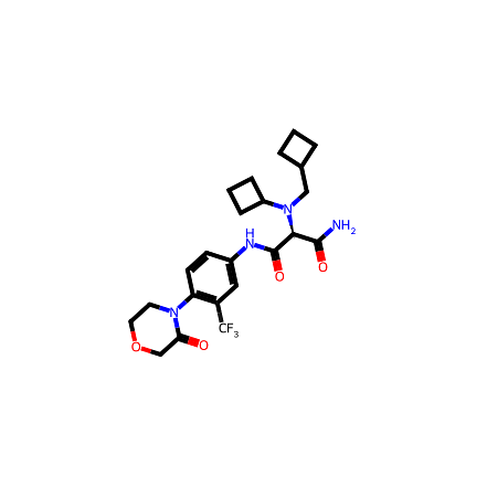 NC(=O)[C@@H](C(=O)Nc1ccc(N2CCOCC2=O)c(C(F)(F)F)c1)N(CC1CCC1)C1CCC1